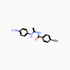 C=C(NC(=O)c1ccc(C(C)(C)C)cc1)Nc1ccc(N)cc1